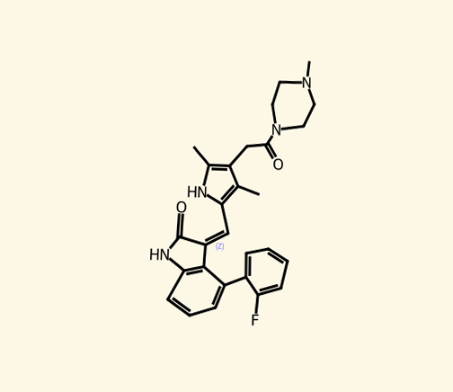 Cc1[nH]c(/C=C2\C(=O)Nc3cccc(-c4ccccc4F)c32)c(C)c1CC(=O)N1CCN(C)CC1